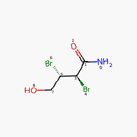 NC(=O)[C@@H](Br)[C@@H](Br)CO